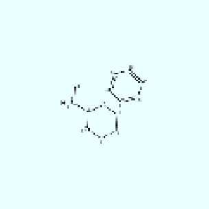 C[SiH2]C1CCCCO1.[c]1ccccc1